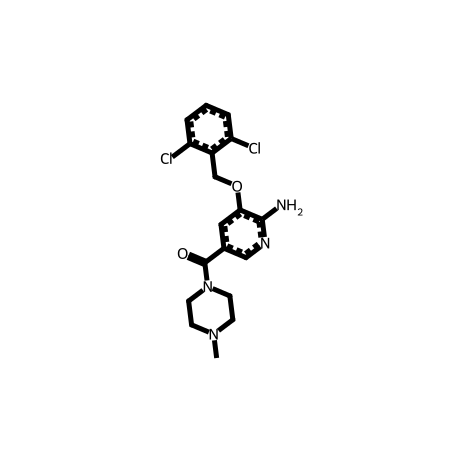 CN1CCN(C(=O)c2cnc(N)c(OCc3c(Cl)cccc3Cl)c2)CC1